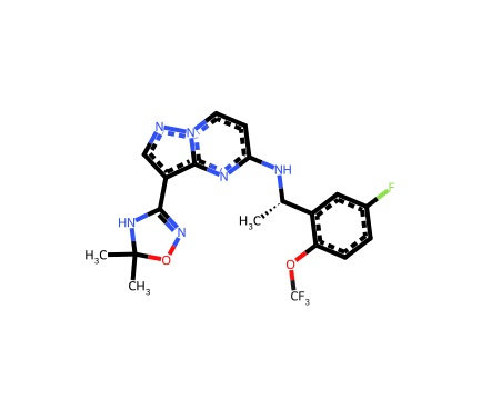 C[C@H](Nc1ccn2ncc(C3=NOC(C)(C)N3)c2n1)c1cc(F)ccc1OC(F)(F)F